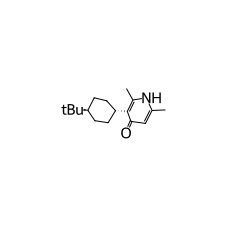 Cc1cc(=O)c([C@H]2CC[C@H](C(C)(C)C)CC2)c(C)[nH]1